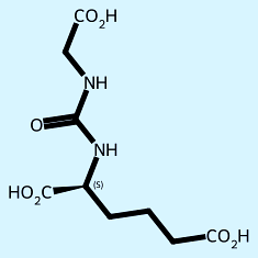 O=C(O)CCC[C@H](NC(=O)NCC(=O)O)C(=O)O